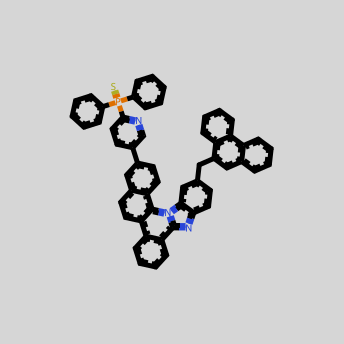 S=P(c1ccccc1)(c1ccccc1)c1ccc(-c2ccc3c(ccc4c5ccccc5c5nc6ccc(Cc7cc8ccccc8c8ccccc78)cc6n5c34)c2)cn1